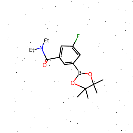 CCN(CC)C(=O)c1cc(F)cc(B2OC(C)(C)C(C)(C)O2)c1